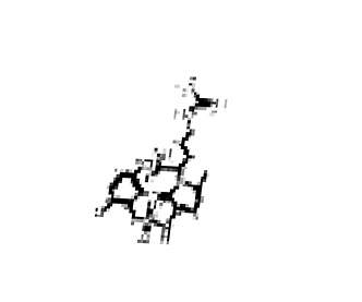 Cc1ccc(NS(=O)(=O)Cc2cc(Cl)ccc2Cl)c(=O)n1C(CCONC(=N)N)C(N)=O